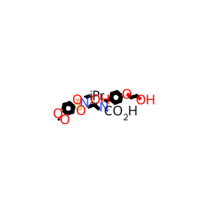 CC(C)CN(C[C@H](O)CN(Cc1ccc(OCCO)cc1)C(=O)O)S(=O)(=O)c1ccc2c(c1)OCO2